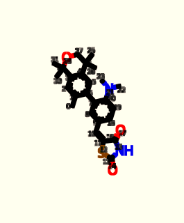 Cc1cc2c(cc1-c1cc(/C=C3/SC(=O)NC3=O)ccc1N(C)C)C(C)(C)COC2(C)C